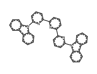 c1cc(-c2cccc(-n3c4ccccc4c4ccccc43)n2)nc(-c2cccc(-n3c4ccccc4c4ccccc43)n2)c1